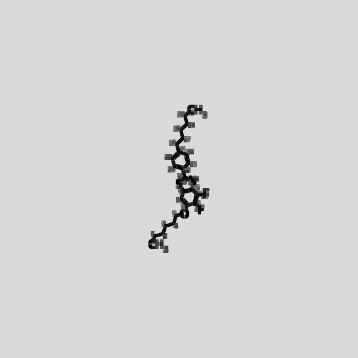 CCCCCCOc1cc2sc(-c3ccc(CCCCCC)cc3)nc2c(F)c1F